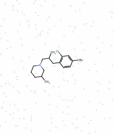 CC1CCCN(CC(C)Cc2ccc(C(C)(C)C)cc2Cl)C1